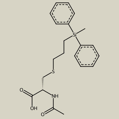 CC(=O)N[C@@H](CSCCC[Si](C)(c1ccccc1)c1ccccc1)C(=O)O